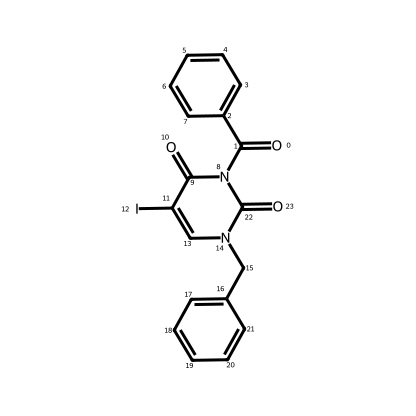 O=C(c1ccccc1)n1c(=O)c(I)cn(Cc2ccccc2)c1=O